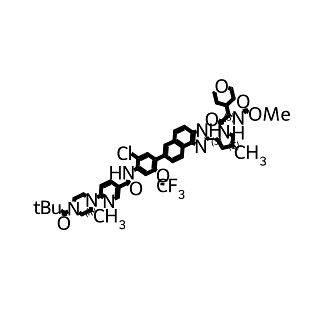 COC(=O)N[C@H](C(=O)N1C[C@@H](C)C[C@H]1c1nc2c(ccc3cc(-c4cc(Cl)c(NC(=O)c5ccc(N6CCN(C(=O)C(C)(C)C)C[C@H]6C)nc5)cc4OC(F)(F)F)ccc32)[nH]1)C1CCOCC1